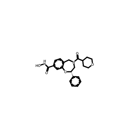 O=C(NO)c1ccc2c(c1)O[C@@H](c1ccccc1)CN(C(=O)C1CCOCC1)C2